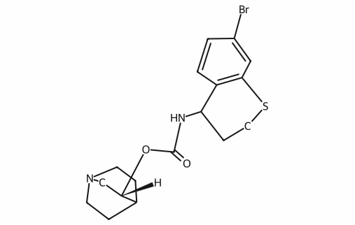 O=C(NC1CCSc2cc(Br)ccc21)O[C@H]1CN2CCC1CC2